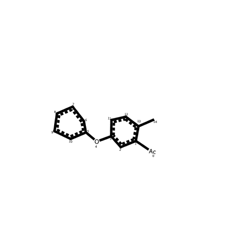 CC(=O)c1cc(Oc2ccccc2)ccc1C